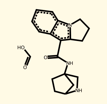 O=C(NC12CCC(C1)NC2)c1c2n(c3ccccc13)CCC2.O=CO